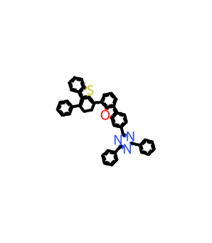 c1ccc(C2=c3c(sc4ccccc34)=C(c3cccc4c3oc3cc(-c5nc(-c6ccccc6)nc(-c6ccccc6)n5)ccc34)CC2)cc1